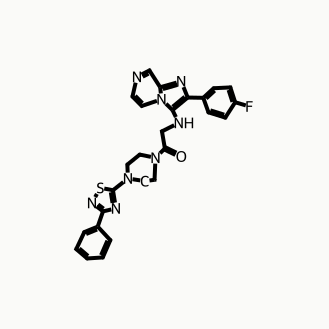 O=C(CNc1c(-c2ccc(F)cc2)nc2cnccn12)N1CCN(c2nc(-c3ccccc3)ns2)CC1